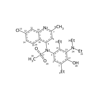 CCc1cc(N(c2cc(C)nc3cc(Cl)ccc23)S(C)(=O)=O)c(CC)c(N(CC)CC)c1O